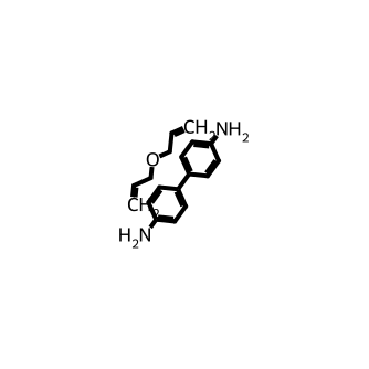 C=CCOCC=C.Nc1ccc(-c2ccc(N)cc2)cc1